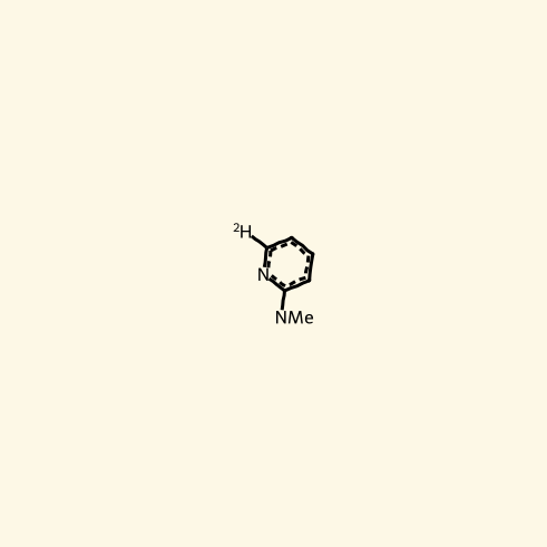 [2H]c1cccc(NC)n1